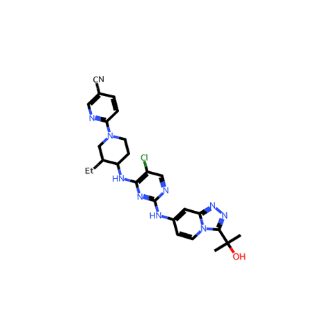 CCC1CN(c2ccc(C#N)cn2)CCC1Nc1nc(Nc2ccn3c(C(C)(C)O)nnc3c2)ncc1Cl